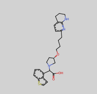 O=C(O)C(c1cccc2sccc12)N1CC[C@@H](OCCCCc2ccc3c(n2)NCCC3)C1